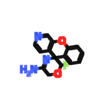 NC1=NC2(c3ccccc3Oc3cnccc32)C(F)OC1